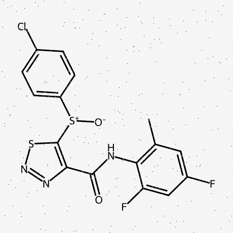 Cc1cc(F)cc(F)c1NC(=O)c1nnsc1[S+]([O-])c1ccc(Cl)cc1